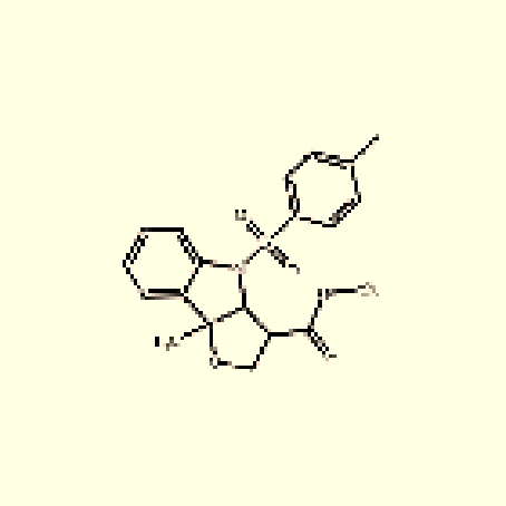 Cc1ccc(S(=O)(=O)N2c3ccccc3C3(C(F)(F)F)OCC(C(=O)OC(C)(C)C)C23)cc1